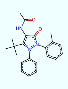 CC(=O)Nc1c(C(C)(C)C)n(-c2ccccc2)n(-c2ccccc2C)c1=O